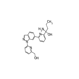 CCCC(N)(O)c1cccc(-c2ccc3cnn(-c4cccc(CO)n4)c3c2)n1